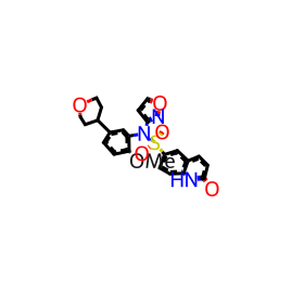 COc1ccc(C2CCOCC2)cc1N(c1ccon1)S(=O)(=O)c1ccc2[nH]c(=O)ccc2c1